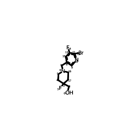 OCC1(F)CCN(Cc2cnc(Br)c(F)c2)CC1